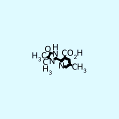 Cc1cnc(C2=NC(C)(C)C(=O)N2)c(C(=O)O)c1